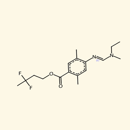 CCN(C)/C=N/c1cc(C)c(C(=O)OCCC(C)(F)F)cc1C